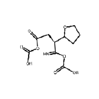 N=C(OC(=O)O)[C@@H](CC(=O)OC(=O)O)C1CCCO1